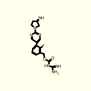 N=C1CCN(c2ncc(-c3cccc(COC(=O)NC(=N)N)c3F)cn2)C1